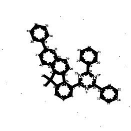 CC1(C)c2cccc(-c3nc(-c4ccccc4)nc(-c4ccccc4)n3)c2-c2ccc3cc(-c4ccccc4)ccc3c21